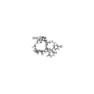 CO[C@]1(C=O)/C=C/C[C@H](C)[C@@H](C)S(=O)(=O)NC(=O)c2cc(C3CNCCN3C)c3c(c2)N(CCCCc2cc(Cl)ccc2CO3)C[C@@H]2CC[C@H]21